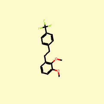 COc1cccc(CCc2ccc(C(F)(F)F)cc2)c1OC